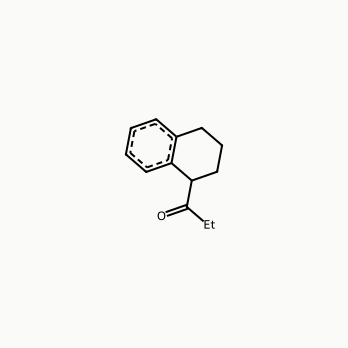 CCC(=O)C1CCCc2ccccc21